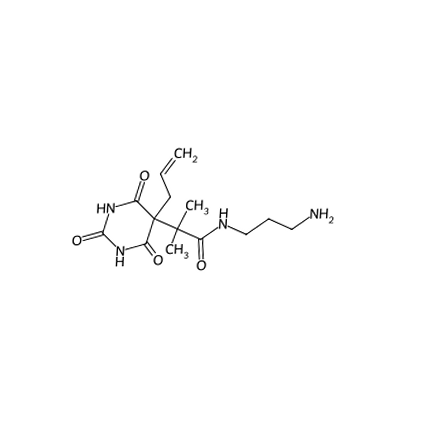 C=CCC1(C(C)(C)C(=O)NCCCN)C(=O)NC(=O)NC1=O